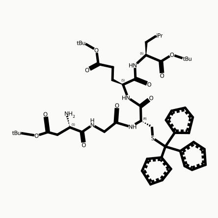 CC(C)C[C@H](NC(=O)[C@H](CCC(=O)OC(C)(C)C)NC(=O)[C@H](CSC(c1ccccc1)(c1ccccc1)c1ccccc1)NC(=O)CNC(=O)[C@@H](N)CC(=O)OC(C)(C)C)C(=O)OC(C)(C)C